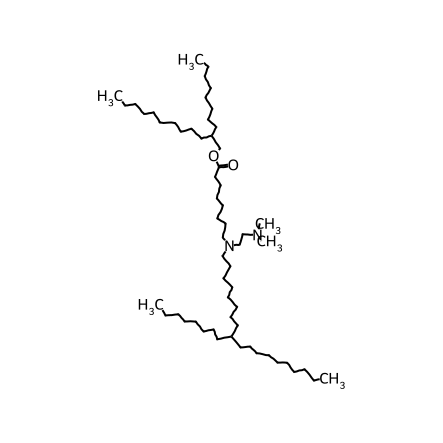 CCCCCCCCCCC(CCCCCCCC)CCCCCCCCN(CCCCCCCC(=O)OCC(CCCCCCCC)CCCCCCCCCC)CCN(C)C